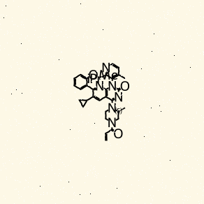 C=CC(=O)N1CCN(c2nc(=O)n(-c3c(C)ccnc3C(C)C)c3nc(-c4ccccc4OC)c(C4CC4)cc23)[C@@H](C)C1